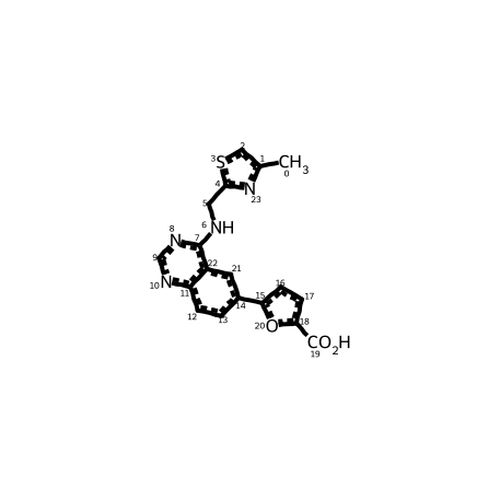 Cc1csc(CNc2ncnc3ccc(-c4ccc(C(=O)O)o4)cc23)n1